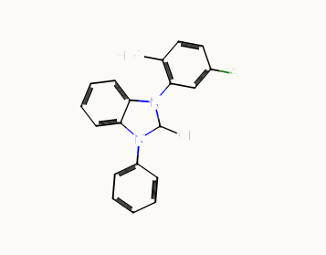 Cc1ccc(Br)cc1N1c2ccccc2N(c2ccccc2)C1C